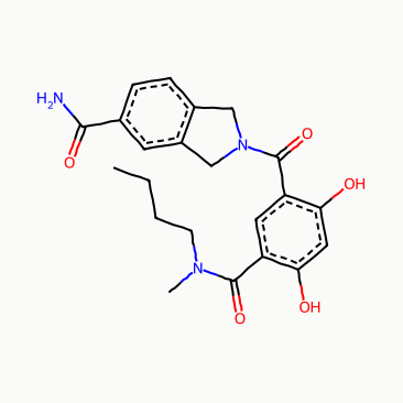 CCCCN(C)C(=O)c1cc(C(=O)N2Cc3ccc(C(N)=O)cc3C2)c(O)cc1O